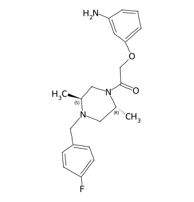 C[C@@H]1CN(Cc2ccc(F)cc2)[C@@H](C)CN1C(=O)COc1cccc(N)c1